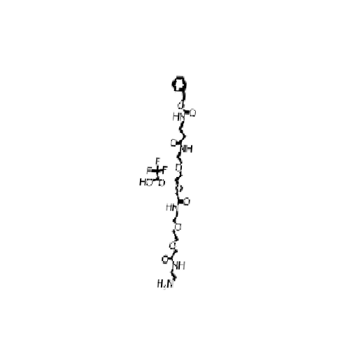 NCCNC(=O)COCCOCCNC(=O)COCCOCCNC(=O)CCCNC(=O)OCc1ccccc1.O=C(O)C(F)(F)F